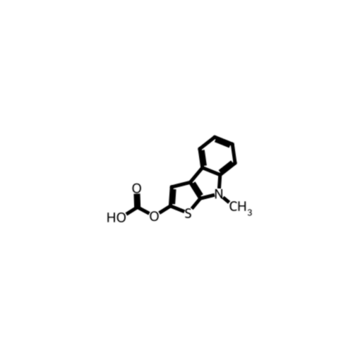 Cn1c2ccccc2c2cc(OC(=O)O)sc21